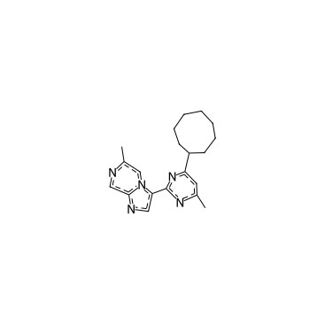 Cc1cn2c(-c3nc(C)cc(C4CCCCCCC4)n3)cnc2cn1